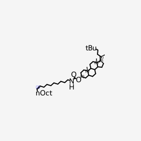 CCCCCCCC/C=C\CCCCCCCCNC(=O)O[C@@H]1CC[C@@]2(C)C(CCC3C2CC[C@@]2(C)C3CC[C@@H]2[C@H](C)CCC(C)(C)C)C1